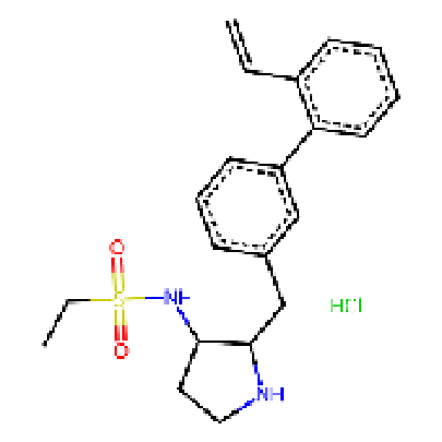 C=Cc1ccccc1-c1cccc(CC2NCCC2NS(=O)(=O)CC)c1.Cl